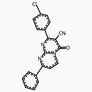 N#Cc1c(-c2ccc(Cl)cc2)nc2nc(-c3ccccc3)ccn2c1=O